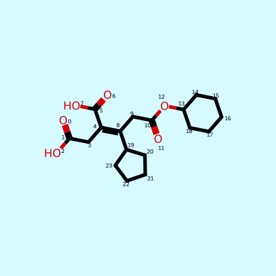 O=C(O)CC(C(=O)O)=C(CC(=O)OC1CCCCC1)C1CCCC1